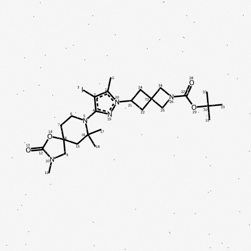 Cc1c(I)c(N2CCC3(CN(C)C(=O)O3)CC2(C)C)nn1C1CC2(C1)CN(C(=O)OC(C)(C)C)C2